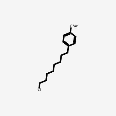 COc1ccc(CCCCCCCCCl)cc1